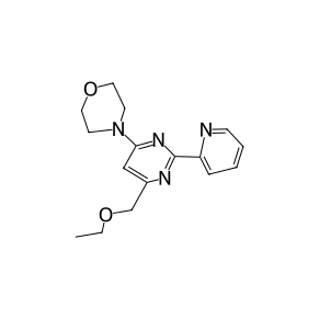 CCOCc1cc(N2CCOCC2)nc(-c2ccccn2)n1